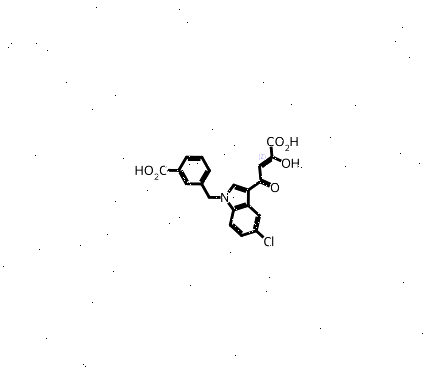 O=C(O)/C(O)=C/C(=O)c1cn(Cc2cccc(C(=O)O)c2)c2ccc(Cl)cc12